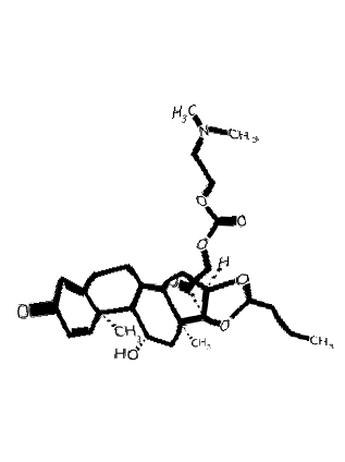 CCCC1O[C@@H]2CC3C4CCC5=CC(=O)C=C[C@]5(C)C4[C@@H](O)C[C@]3(C)[C@]2(C(=O)COC(=O)OCCN(C)C)O1